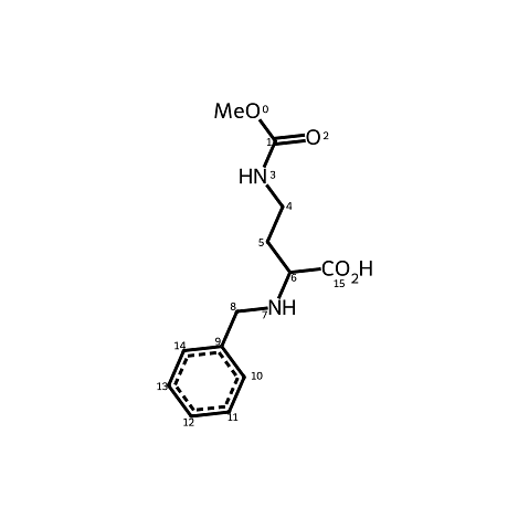 COC(=O)NCCC(NCc1ccccc1)C(=O)O